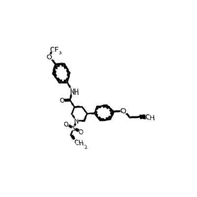 C#CCOc1ccc(C2CC(C(=O)Nc3ccc(OC(F)(F)F)cc3)CN(S(=O)(=O)C=C)C2)cc1